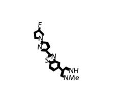 CN/C=C(\C=N)c1ccc2sc(-c3ccc(N4CCC(F)C4)nc3)nc2c1